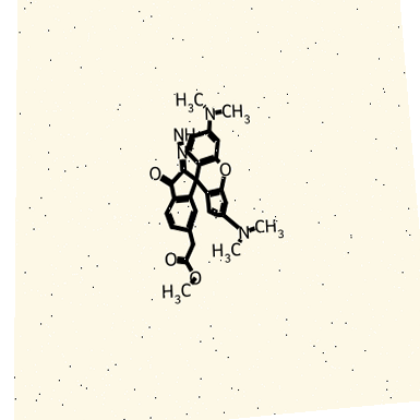 COC(=O)Cc1ccc2c(c1)C1(C(=[N+]=N)C2=O)c2ccc(N(C)C)cc2Oc2cc(N(C)C)ccc21